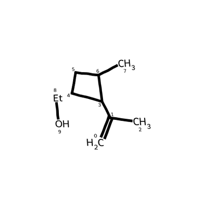 C=C(C)C1CCC1C.CCO